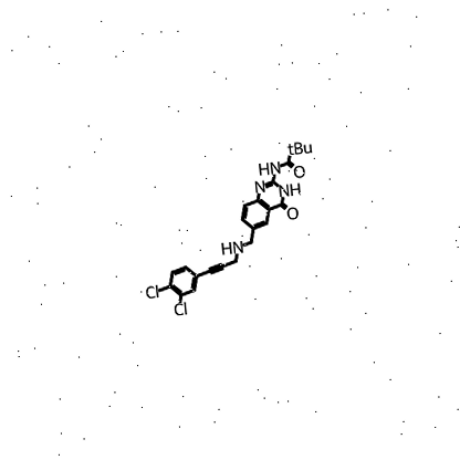 CC(C)(C)C(=O)Nc1nc2ccc(CNCC#Cc3ccc(Cl)c(Cl)c3)cc2c(=O)[nH]1